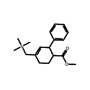 COC(=O)C1CCC(C[Si](C)(C)C)=CC1c1ccccc1